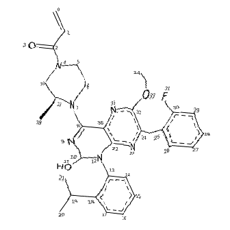 C=CC(=O)N1CCN(C2=NC(O)N(c3ccccc3C(C)C)c3nc(-c4ccccc4F)c(OC)nc32)[C@@H](C)C1